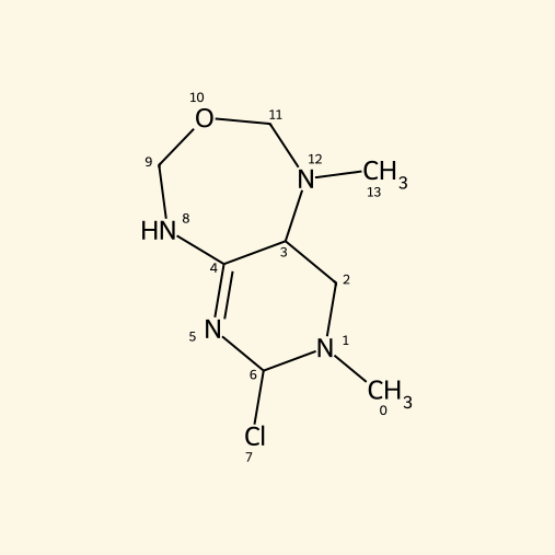 CN1CC2C(=NC1Cl)NCOCN2C